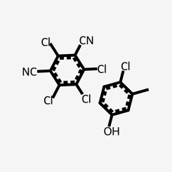 Cc1cc(O)ccc1Cl.N#Cc1c(Cl)c(Cl)c(Cl)c(C#N)c1Cl